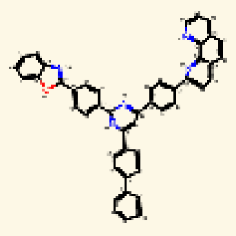 c1ccc(-c2ccc(-c3cc(-c4ccc(-c5ccc6ccc7cccnc7c6n5)cc4)nc(-c4ccc(-c5nc6ccccc6o5)cc4)n3)cc2)cc1